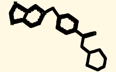 O=C(CC1CCCCC1)c1ccc(Cn2ccc3ncnc-3c2)cc1